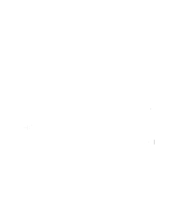 CCCC(C1=C(C)C=C(O)C(C(C)(C)C)C1)c1cc(C)c(O)c(C(C)(C)C)c1